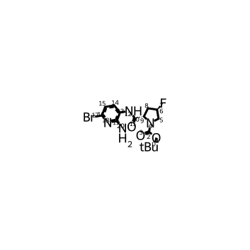 CC(C)(C)OC(=O)N1C[C@H](F)C[C@H]1C(=O)Nc1ccc(Br)nc1N